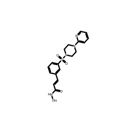 O=C(/C=C/c1cccc(S(=O)(=O)N2CCN(c3ccccn3)CC2)c1)NO